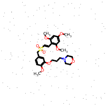 COc1cc(OC)c(C=CS(=O)(=O)Cc2ccc(OC)c(OCCCN3CCOCC3)c2)c(OC)c1